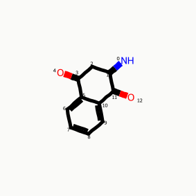 N=C1CC(=O)c2ccccc2C1=O